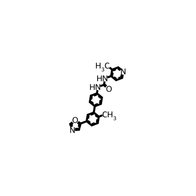 Cc1cnccc1NC(=O)Nc1ccc(-c2cc(-c3cnco3)ccc2C)cc1